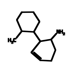 CC1CCCCC1C1C=CCCC1N